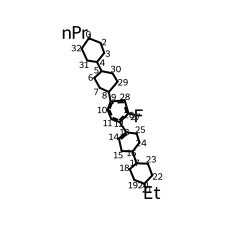 CCCC1CCC(C2CCC(c3ccc(C4=CCC(C5CCC(CC)CC5)CC4)c(F)c3)CC2)CC1